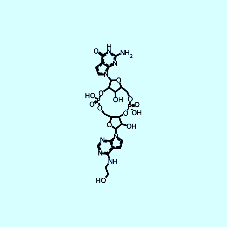 Nc1nc2c(ccn2C2OC3COP(=O)(O)OC4C(COP(=O)(O)OC2C3O)OC(n2ccc3c(NCCO)ncnc32)C4O)c(=O)[nH]1